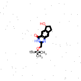 CC(C)(C)[Si](C)(C)OCc1nc2cc3c(cc2c(=O)[nH]1)[C@H](O)CC3